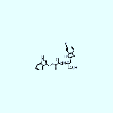 O=C(CN[C@H](Cc1nc2ccc(F)cc2[nH]1)C(=O)O)NCCc1c[nH]c2ccccc12